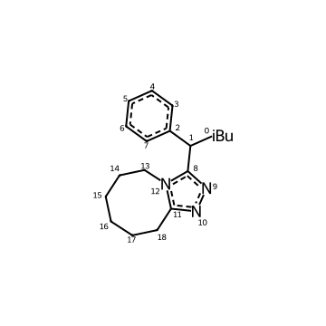 CCC(C)C(c1ccccc1)c1nnc2n1CCCCCC2